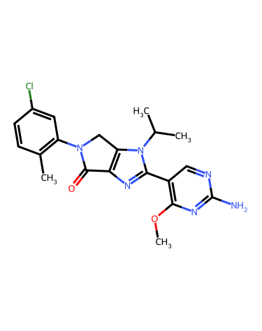 COc1nc(N)ncc1-c1nc2c(n1C(C)C)CN(c1cc(Cl)ccc1C)C2=O